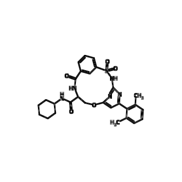 Cc1cccc(C)c1-c1cc2nc(n1)NS(=O)(=O)c1cccc(c1)C(=O)NC(C(=O)NC1CCCCC1)CO2